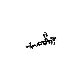 COc1ncc(-c2nc(N3CCOCC3)nc3c(CN4CCC(OCCCC(=O)NO)CC4)cc(F)cc23)cc1NS(C)(=O)=O